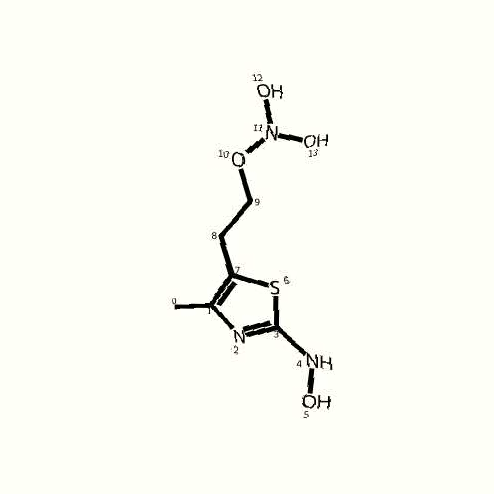 Cc1nc(NO)sc1CCON(O)O